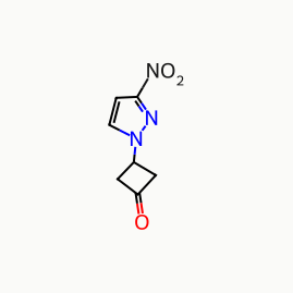 O=C1CC(n2ccc([N+](=O)[O-])n2)C1